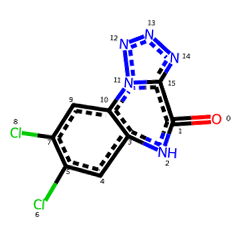 O=c1[nH]c2cc(Cl)c(Cl)cc2n2nnnc12